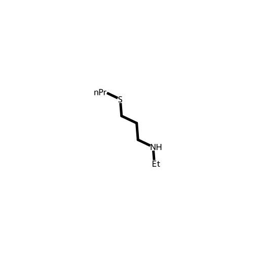 CCCSCCCNCC